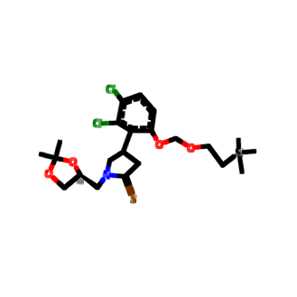 CC1(C)OC[C@H](CN2CC(c3c(OCOCC[Si](C)(C)C)ccc(Cl)c3Cl)CC2=S)O1